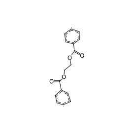 O=C(OCCOC(=O)c1cc[c]cc1)c1cc[c]cc1